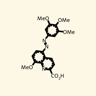 COc1cc(N=Nc2ccc(OC)c3nc(C(=O)O)ccc23)cc(OC)c1OC